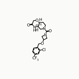 O=C1CO[C@H]2CCN(C(=O)N3CC(OCc4ccc(C(F)(F)F)cc4Cl)C3)C[C@H]2N1